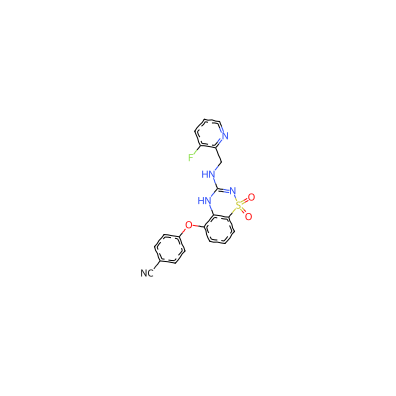 N#Cc1ccc(Oc2cccc3c2NC(NCc2ncccc2F)=NS3(=O)=O)cc1